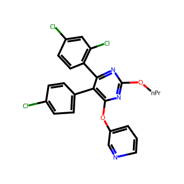 CCCOc1nc(Oc2cccnc2)c(-c2ccc(Cl)cc2)c(-c2ccc(Cl)cc2Cl)n1